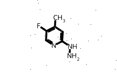 Cc1cc(NN)ncc1F